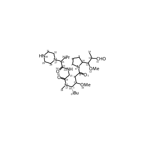 CCC(C)[C@@H](C(CC(=O)N1CCCC1C(OC)C(C)C=O)OC)N(C)C(=O)CNC(=O)C(C(C)C)N1CCNCC1